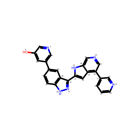 Oc1cncc(-c2ccc3[nH]nc(-c4cc5c(-c6cccnc6)cncc5[nH]4)c3c2)c1